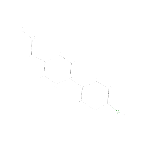 CCCC1CCC(C2CCC(F)CC2)CC1